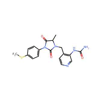 CC1C(=O)N(c2ccc(SC(F)(F)F)cc2)C(=O)N1Cc1ccncc1NC(N)=O